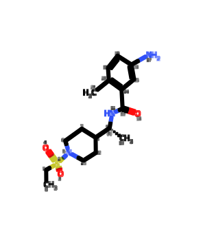 CCS(=O)(=O)N1CCC([C@@H](C)NC(=O)c2cc(N)ccc2C)CC1